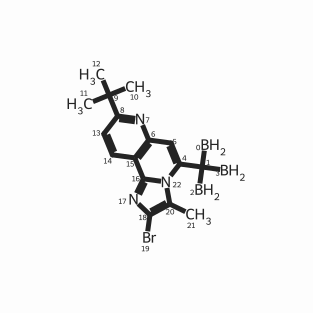 BC(B)(B)c1cc2nc(C(C)(C)C)ccc2c2nc(Br)c(C)n12